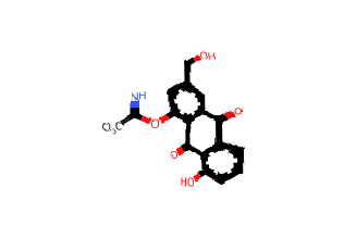 N=C(Oc1cc(CO)cc2c1C(=O)c1c(O)cccc1C2=O)C(Cl)(Cl)Cl